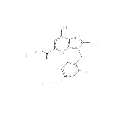 COC(=O)c1cc(C)c2nc(C)n(Cc3ccc(SC)cc3Cl)c2n1